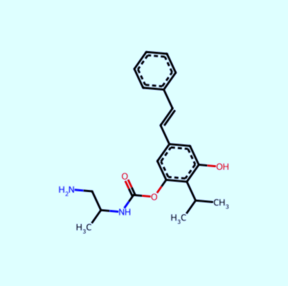 CC(CN)NC(=O)Oc1cc(/C=C/c2ccccc2)cc(O)c1C(C)C